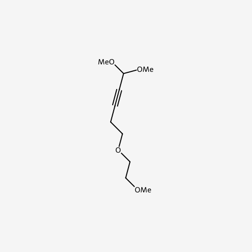 COCCOCCC#CC(OC)OC